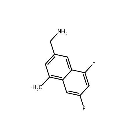 [CH2]c1cc(CN)cc2c(F)cc(F)cc12